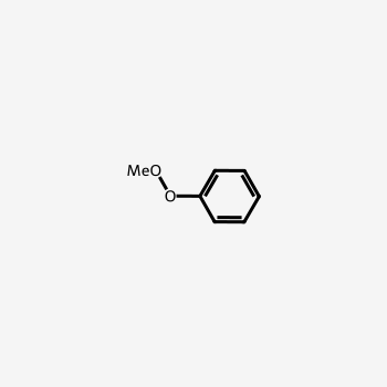 COOc1ccccc1